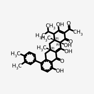 CC(=O)C1=C(O)C(C(C)C)[C@@]2(C)C[C@@]3(C)Cc4c(-c5ccc(C)c(C)c5)ccc(O)c4C(=O)C3=C(O)[C@@]2(O)C1=O